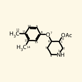 CC(=O)OC1CNCCC1Oc1ccc(C)c(C)c1